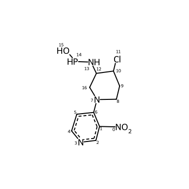 O=[N+]([O-])c1cnccc1N1CCC(Cl)C(NPO)C1